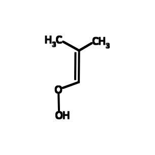 CC(C)=COO